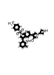 COc1nn(C2CNC2)cc1-c1cnc2c(c1)c(-c1cccc(F)c1)cn2S(=O)(=O)c1ccc(C)cc1